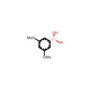 COc1cccc(OC)c1.OBO